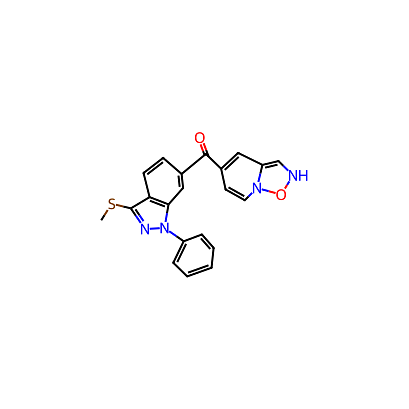 CSc1nn(-c2ccccc2)c2cc(C(=O)C3=CC4=CNON4C=C3)ccc12